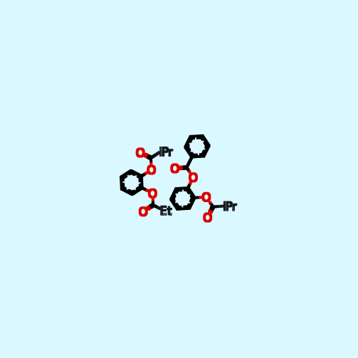 CC(C)C(=O)Oc1ccccc1OC(=O)c1ccccc1.CCC(=O)Oc1ccccc1OC(=O)C(C)C